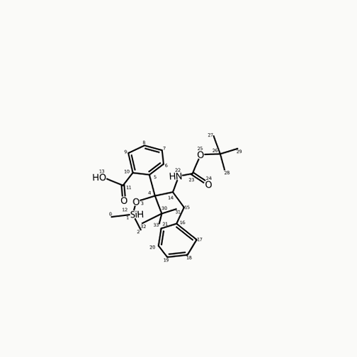 C[SiH](C)OC(c1ccccc1C(=O)O)(C(Cc1ccccc1)NC(=O)OC(C)(C)C)C(C)(C)C